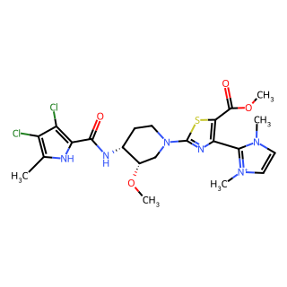 COC(=O)c1sc(N2CC[C@@H](NC(=O)c3[nH]c(C)c(Cl)c3Cl)[C@@H](OC)C2)nc1-c1n(C)cc[n+]1C